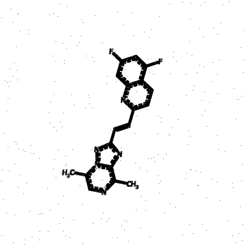 Cc1ncc(C)n2nc(C=Cc3ccc4c(F)cc(F)cc4n3)nc12